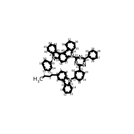 CCCCc1ccc2c(c1)c1ccccc1n2-c1cccc(-c2nc(-c3ccccc3)nc(-n3c4ccccc4c4c5c6ccccc6n(-c6ccccc6)c5ccc43)n2)c1